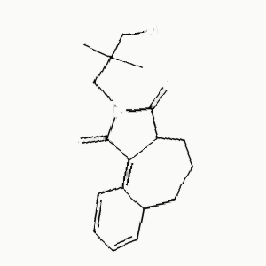 CC(C)(CO)CN1C(=O)C2=C3C=CC=CC3CCCC2C1=O